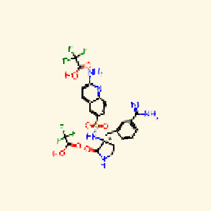 N=C(N)c1cccc(C[C@]2(NS(=O)(=O)c3ccc4nc(N)ccc4c3)CCNC2=O)c1.O=C(O)C(F)(F)F.O=C(O)C(F)(F)F